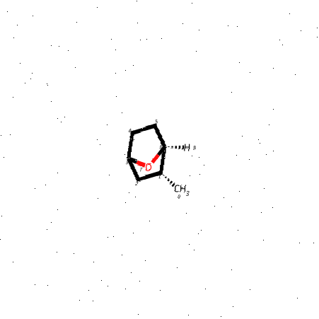 C[C@@H]1CC2CC[C@@H]1O2